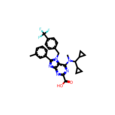 Cc1cccc(-c2nc3nc(C(=O)O)nc(N(C)C(C4CC4)C4CC4)c3n2Cc2ccc(C(F)(F)F)cc2)c1